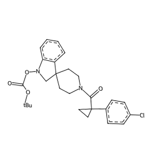 CC(C)(C)OC(=O)ON1CC2(CCN(C(=O)C3(c4ccc(Cl)cc4)CC3)CC2)c2ccccc21